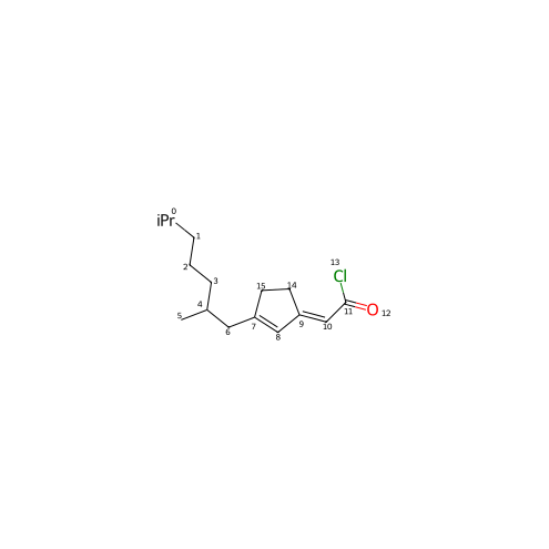 CC(C)CCCC(C)CC1=C/C(=C/C(=O)Cl)CC1